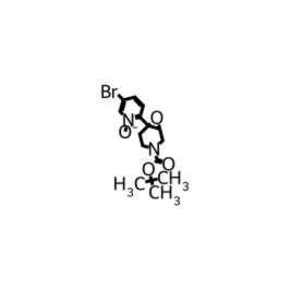 CC(C)(C)OC(=O)N1CCC2(c3ccc(Br)c[n+]3[O-])OC2C1